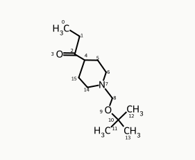 CCC(=O)C1CCN(COC(C)(C)C)CC1